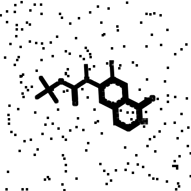 CN(C(=O)OC(C)(C)C)c1cc2cc[nH]c(=O)c2cc1F